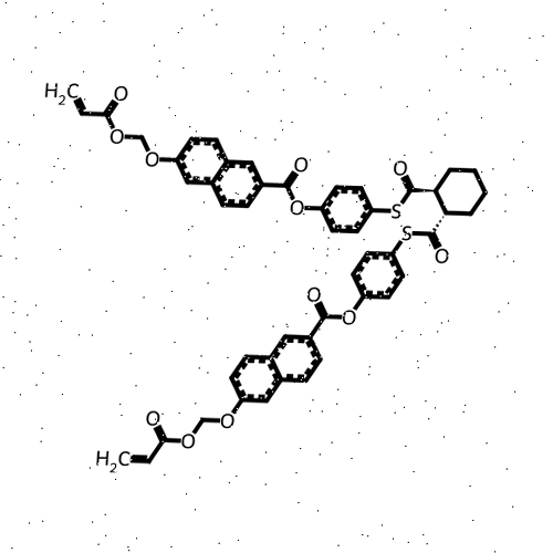 C=CC(=O)OCOc1ccc2cc(C(=O)Oc3ccc(SC(=O)[C@H]4CCCC[C@@H]4C(=O)Sc4ccc(OC(=O)c5ccc6cc(OCOC(=O)C=C)ccc6c5)cc4)cc3)ccc2c1